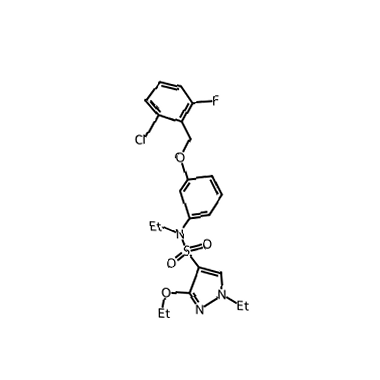 CCOc1nn(CC)cc1S(=O)(=O)N(CC)c1cccc(OCc2c(F)cccc2Cl)c1